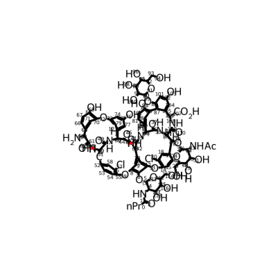 CCCC(=O)NC1[C@H](Oc2c3cc4cc2Oc2ccc(cc2Cl)[C@@H](O[C@@H]2OC(CO)[C@@H](O)C(O)[C@@H]2NC(C)=O)[C@@H]2NC(=O)[C@H](NC(=O)[C@@H]4NC(=O)[C@H]4NC(=O)[C@@H](Cc5ccc(c(Cl)c5)O3)NC(=O)[C@H](N)c3ccc(O)c(c3)Oc3cc(O)cc4c3)c3ccc(O)c(c3)-c3c(O[C@H]4OC(CO)[C@@H](O)[C@@H](O)C4O)cc(O)cc3[C@@H](C(=O)O)NC2=O)OC(CO)[C@@H](O)[C@@H]1O